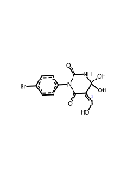 O=C1NC(O)(O)/C(=N/O)C(=O)N1c1ccc(Br)cc1